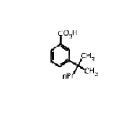 CCCC(C)(C)c1cccc(C(=O)O)c1